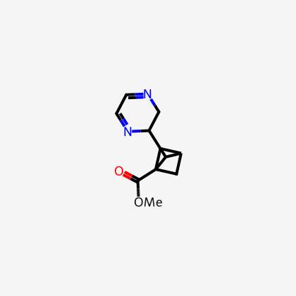 COC(=O)C12CC(C1)C2C1CN=CC=N1